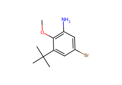 COc1c(N)cc(Br)cc1C(C)(C)C